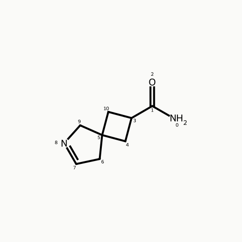 NC(=O)C1CC2(CC=NC2)C1